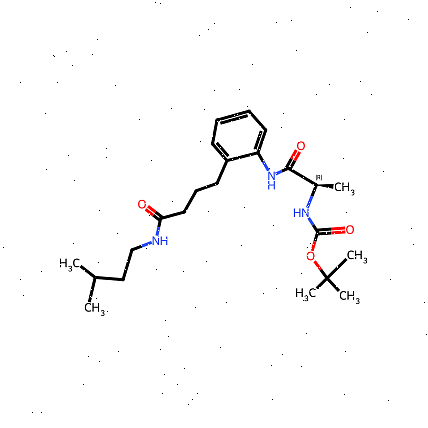 CC(C)CCNC(=O)CCCc1ccccc1NC(=O)[C@@H](C)NC(=O)OC(C)(C)C